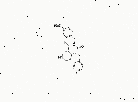 CC(C)COc1ccc(COC(=O)N(Cc2ccc(F)cc2)[C@H]2CCNC[C@H]2CF)cc1